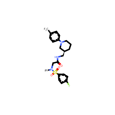 CC(C)N(CC(=O)NC[C@@H]1CCCN(c2ccc(C(F)(F)F)cc2)C1)S(=O)(=O)c1ccc(F)cc1